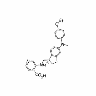 CCOc1ccc(N(C)c2ccc3c(c2)CC[C@H]3CNc2cnccc2C(=O)O)cc1